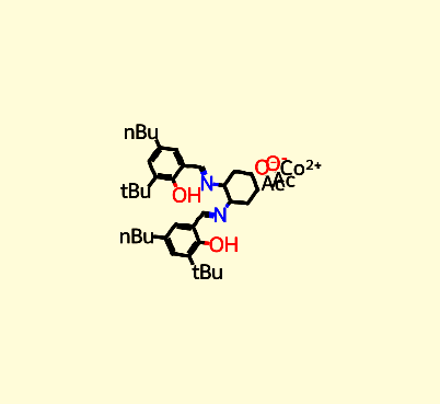 CC(=O)[O-].CC(=O)[O-].CCCCc1cc(C=NC2CCCCC2N=Cc2cc(CCCC)cc(C(C)(C)C)c2O)c(O)c(C(C)(C)C)c1.[Co+2]